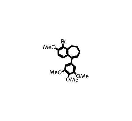 COc1ccc2c(c1Br)CCCC=C2c1cc(OC)c(OC)c(OC)c1